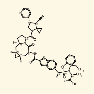 CCCN([C@@H](C)C(=O)O)[P@@](=O)(Oc1ccccc1)[C@@H](F)c1ccc2sc(C(=O)N[C@H]3C[C@@H]4C[C@@H]4C[C@H]4CC[C@@H](C(=O)N5C[C@H](c6cccnc6)[C@@H](C#N)C56CC6)N4C3=O)cc2c1